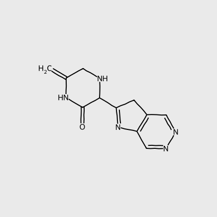 C=C1CNC(C2=Nc3cnncc3C2)C(=O)N1